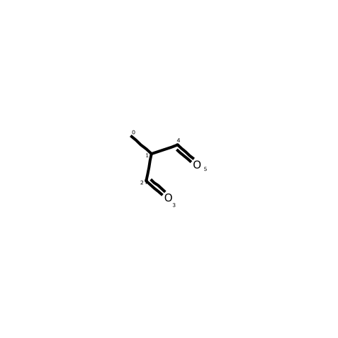 CC([C]=O)C=O